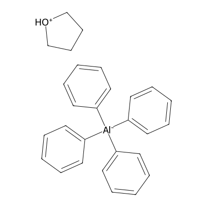 C1CC[OH+]C1.c1cc[c]([Al-]([c]2ccccc2)([c]2ccccc2)[c]2ccccc2)cc1